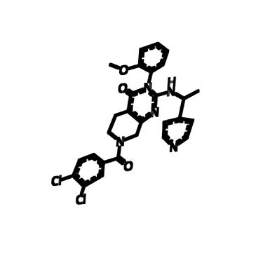 COc1ccccc1-n1c(NC(C)c2ccncc2)nc2c(c1=O)CCN(C(=O)c1ccc(Cl)c(Cl)c1)C2